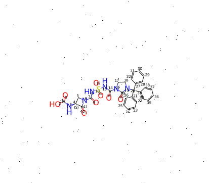 O=C(O)N[C@H]1CN(C(=O)NS(=O)(=O)NC(=O)N2CCN(C(c3ccccc3)(c3ccccc3)c3ccccc3)C2=O)C1=O